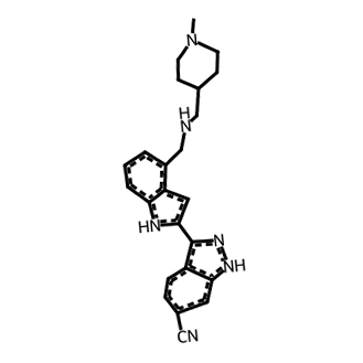 CN1CCC(CNCc2cccc3[nH]c(-c4n[nH]c5cc(C#N)ccc45)cc23)CC1